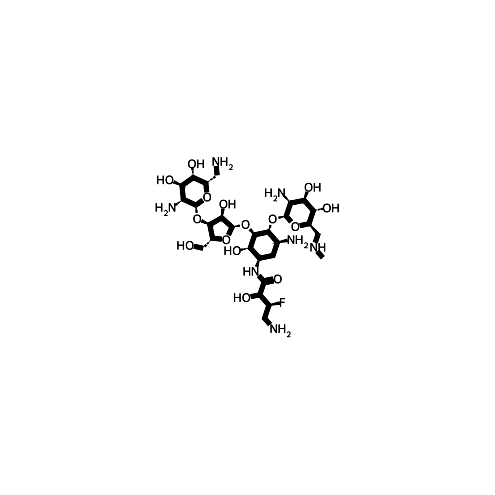 CNC[C@H]1O[C@H](O[C@H]2[C@H](O[C@@H]3O[C@H](CO)[C@@H](O[C@H]4O[C@@H](CN)[C@@H](O)[C@H](O)[C@H]4N)[C@H]3O)[C@@H](O)[C@H](NC(=O)C(O)[C@@H](F)CN)C[C@@H]2N)[C@H](N)[C@@H](O)[C@@H]1O